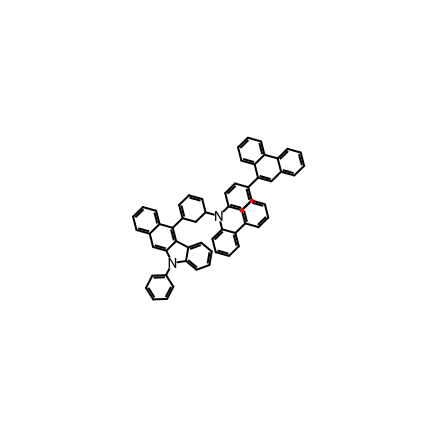 C1=CC(N(c2ccc(-c3cc4ccccc4c4ccccc34)cc2)c2ccccc2-c2ccccc2)CC(c2c3ccccc3cc3c2c2ccccc2n3-c2ccccc2)=C1